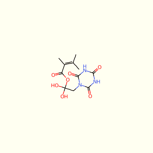 CC(C)=C(C)C(=O)OC(O)(O)Cn1c(=O)[nH]c(=O)[nH]c1=O